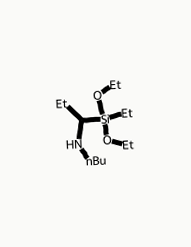 CCCCNC(CC)[Si](CC)(OCC)OCC